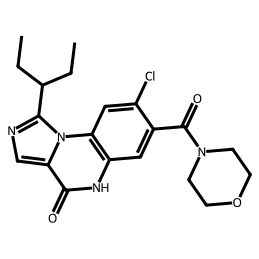 CCC(CC)c1ncc2c(=O)[nH]c3cc(C(=O)N4CCOCC4)c(Cl)cc3n12